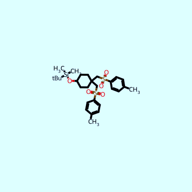 Cc1ccc(S(=O)(=O)CC2(CS(=O)(=O)c3ccc(C)cc3)CCC(O[Si](C)(C)C(C)(C)C)CC2)cc1